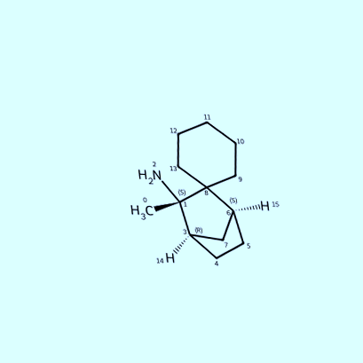 C[C@]1(N)[C@@H]2CC[C@@H](C2)C12CCCCC2